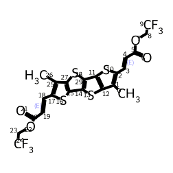 Cc1c(/C=C/C(=O)OCC(F)(F)F)sc2c1sc1c3sc(/C=C/C(=O)OCC(F)(F)F)c(C)c3sc21